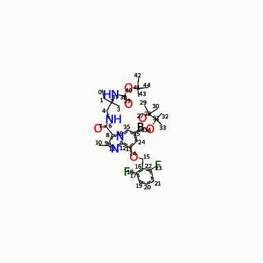 CCC(C)(CNC(=O)c1c(C)nc2c(OCc3c(F)cccc3F)cc(B3OC(C)(C)C(C)(C)O3)cn12)NC(=O)OC(C)(C)C